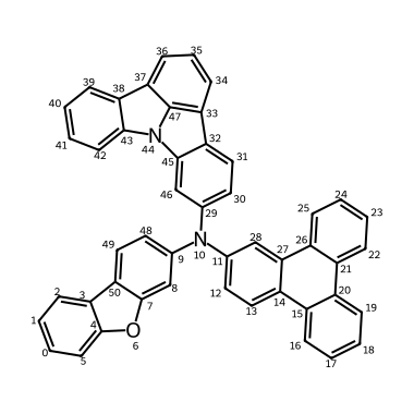 c1ccc2c(c1)oc1cc(N(c3ccc4c5ccccc5c5ccccc5c4c3)c3ccc4c5cccc6c7ccccc7n(c4c3)c65)ccc12